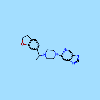 CC(c1ccc2c(c1)OCC2)N1CCN(c2cc3c(cn2)N=C=N3)CC1